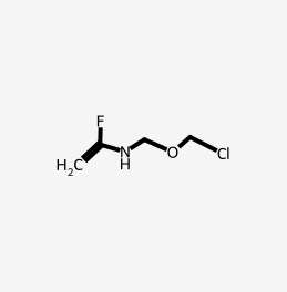 C=C(F)NCOCCl